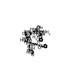 C[C@H](NC(=O)[C@@H]1CCC(=O)N1)C(=O)N[C@@H](CCCCNC(=O)OCc1ccccc1)C(=O)N[C@@H](CO)C(=O)N[C@@H](CCC(N)=O)C(=O)NCC(=O)NCC(=O)N[C@@H](CO)C(=O)N[C@@H](CC(N)=O)C(=O)N[C@@H](Cc1ccccc1)C(N)=O